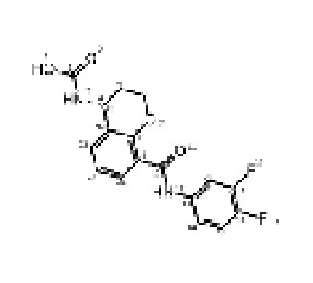 O=C(O)N[C@@H]1CCOc2c(C(=O)Nc3ccc(F)c(F)c3)cccc21